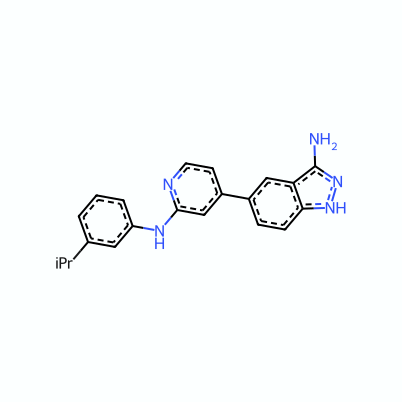 CC(C)c1cccc(Nc2cc(-c3ccc4[nH]nc(N)c4c3)ccn2)c1